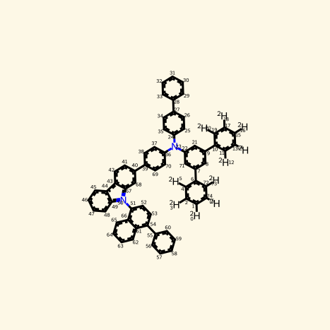 [2H]c1c([2H])c([2H])c(-c2cc(-c3c([2H])c([2H])c([2H])c([2H])c3[2H])cc(N(c3ccc(-c4ccccc4)cc3)c3ccc(-c4ccc5c6ccccc6n(-c6ccc(-c7ccccc7)c7ccccc67)c5c4)cc3)c2)c([2H])c1[2H]